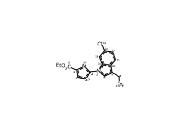 CCOC(=O)c1csc(-n2cc(CC(C)C)c3ccc(Cl)cc32)n1